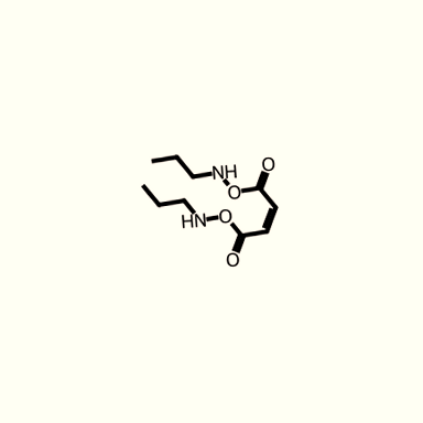 CCCNOC(=O)/C=C\C(=O)ONCCC